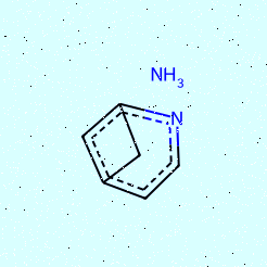 N.c1cc2cc(n1)C2